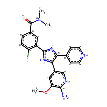 COc1cc(-c2[nH]c(-c3cc(C(=O)N(C)C)ccc3F)nc2-c2ccncc2)cnc1N